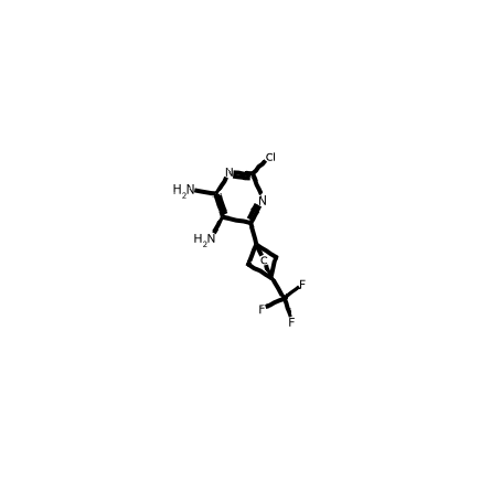 Nc1nc(Cl)nc(C23CC(C(F)(F)F)(C2)C3)c1N